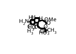 CO[C@H]1C[C@H]2C=C[C@H]3[C@H]4O[C@]2(C(C)=C[C@@H](C)[C@@H]([C@@H](C)O)OC1=O)[C@@H]3C(=O)[C@@H](C)[C@@H]4N